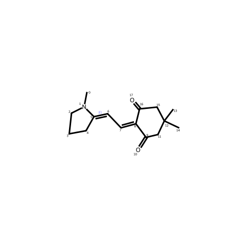 CN1CCC/C1=C\C=C1C(=O)CC(C)(C)CC1=O